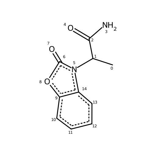 CC(C(N)=O)n1c(=O)oc2ccccc21